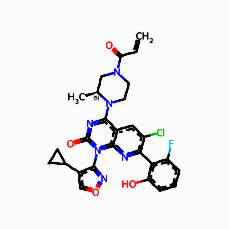 C=CC(=O)N1CCN(c2nc(=O)n(-c3nocc3C3CC3)c3nc(-c4c(O)cccc4F)c(Cl)cc23)[C@@H](C)C1